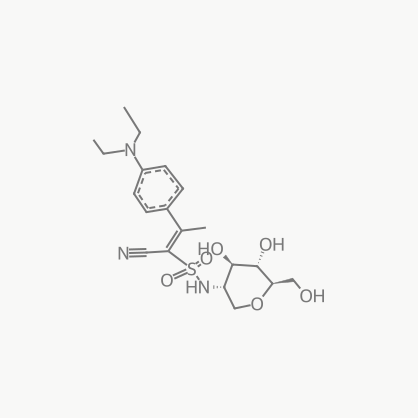 CCN(CC)c1ccc(/C(C)=C(\C#N)S(=O)(=O)N[C@H]2CO[C@H](CO)[C@@H](O)[C@@H]2O)cc1